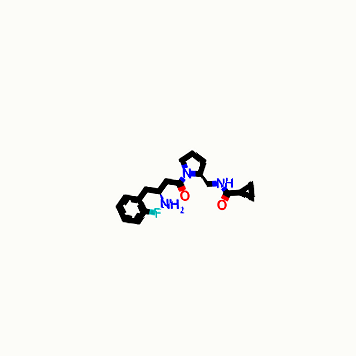 N[C@@H](CC(=O)N1CCC[C@H]1CNC(=O)C1CC1)Cc1ccccc1F